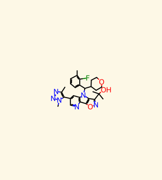 Cc1cccc(C(C2CCOCC2)n2c3cc(-c4c(C)nnn4C)cnc3c3onc(C(C)(C)O)c32)c1F